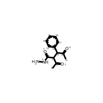 CC(=O)C(C(=O)NN)C(C(C)=O)c1ccccc1